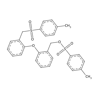 Cc1ccc(S(=O)(=O)Cc2ccccc2Oc2ccccc2COS(=O)(=O)c2ccc(C)cc2)cc1